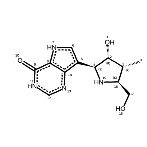 C[C@H]1[C@@H](O)[C@H](c2c[nH]c3c(=O)[nH]cnc23)N[C@@H]1CO